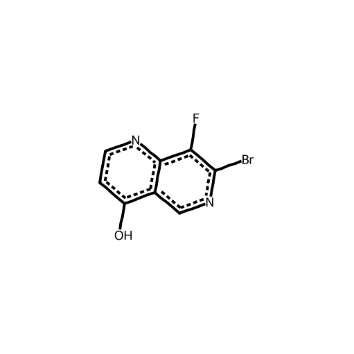 Oc1ccnc2c(F)c(Br)ncc12